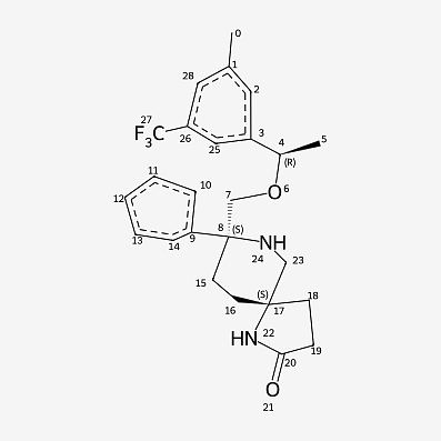 Cc1cc([C@@H](C)OC[C@@]2(c3ccccc3)CC[C@]3(CCC(=O)N3)CN2)cc(C(F)(F)F)c1